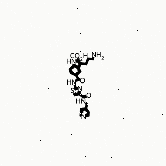 NCCCc1c(C(=O)O)[nH]c2ccc(C(=O)Nc3nc(C(=O)NCc4ccncc4)cs3)cc12